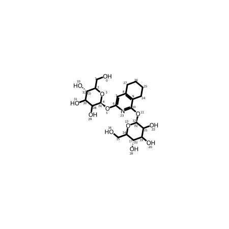 OCC1O[C@@H](Oc2cc3c(c(O[C@@H]4OC(CO)[C@@H](O)C(O)C4O)n2)CCCC3)C(O)C(O)[C@@H]1O